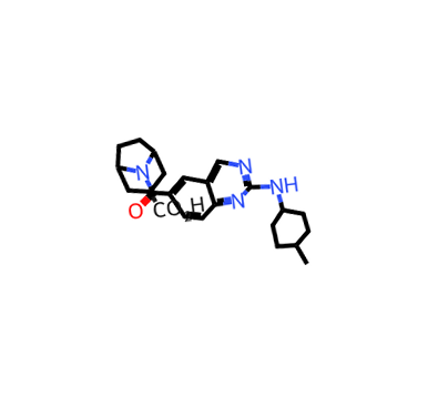 CC1CCC(Nc2ncc3cc(C(=O)N4C5CCC4CC(C(=O)O)C5)ccc3n2)CC1